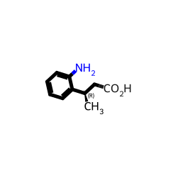 C[C@H](CC(=O)O)c1ccccc1N